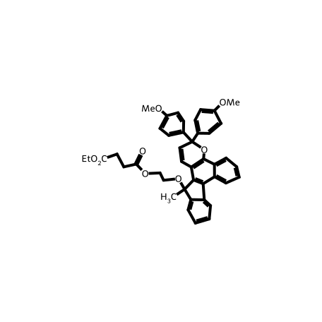 CCOC(=O)CCC(=O)OCCOC1(C)c2ccccc2-c2c1c1c(c3ccccc23)OC(c2ccc(OC)cc2)(c2ccc(OC)cc2)C=C1